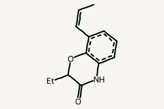 C/C=C\c1cccc2c1OC(CC)C(=O)N2